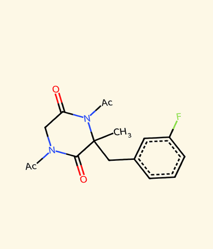 CC(=O)N1CC(=O)N(C(C)=O)C(C)(Cc2cccc(F)c2)C1=O